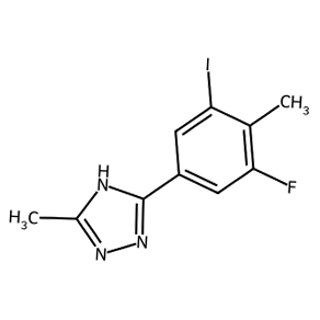 Cc1nnc(-c2cc(F)c(C)c(I)c2)[nH]1